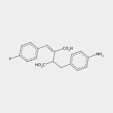 Nc1ccc(CC(C(=O)O)/C(=C\c2ccc(F)cc2)C(=O)O)cc1